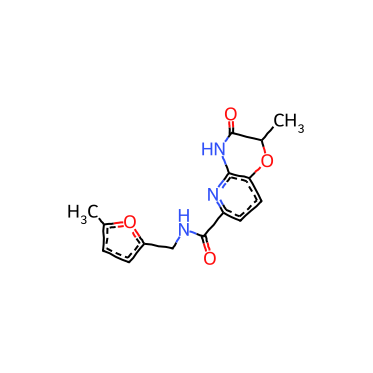 Cc1ccc(CNC(=O)c2ccc3c(n2)NC(=O)C(C)O3)o1